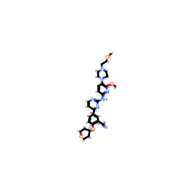 COCCN1CCN(c2ccc(Nc3nccc(-c4ccc(OC5CCOCC5)c(C#N)c4)n3)nc2OC)CC1